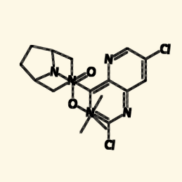 CC(C)(C)OC(=O)N1C2CCC1CN(c1nc(Cl)nc3cc(Cl)cnc13)C2